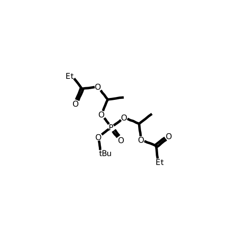 CCC(=O)OC(C)OP(=O)(OC(C)OC(=O)CC)OC(C)(C)C